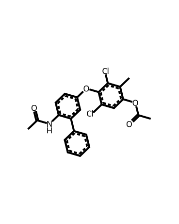 CC(=O)Nc1ccc(Oc2c(Cl)cc(OC(C)=O)c(C)c2Cl)cc1-c1ccccc1